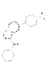 CS(=O)(=O)N1CCC(c2ccn3ncc(C(=O)N4CCCCC4)c3c2)CC1